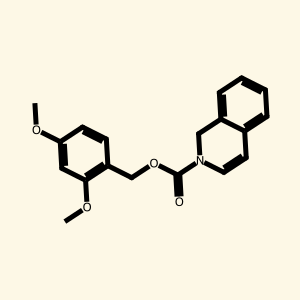 COc1ccc(COC(=O)N2C=Cc3ccccc3C2)c(OC)c1